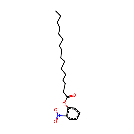 CCCCCCCCCCCCCCCC(=O)Oc1ccccc1[N+](=O)[O-]